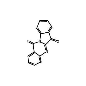 O=C1c2ccccc2-n2c1nc1ncccc1c2=O